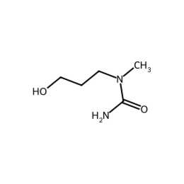 CN(CCCO)C(N)=O